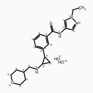 CCn1cc(NC(=O)c2cccc(C3CC3NCC3CCOCC3)c2)cn1.Cl.Cl